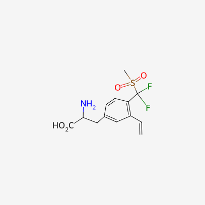 C=Cc1cc(CC(N)C(=O)O)ccc1C(F)(F)S(C)(=O)=O